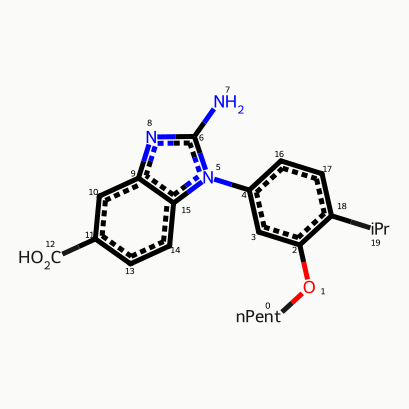 CCCCCOc1cc(-n2c(N)nc3cc(C(=O)O)ccc32)ccc1C(C)C